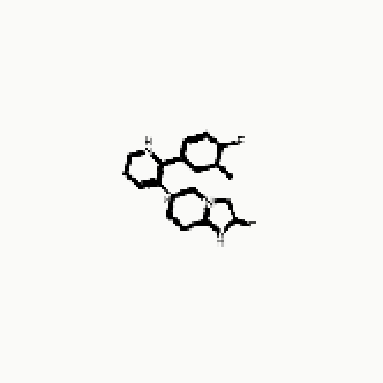 CC1CC(C2NCCC=C2[C@@H]2CCC3NC(F)CN3C2)C=CC1F